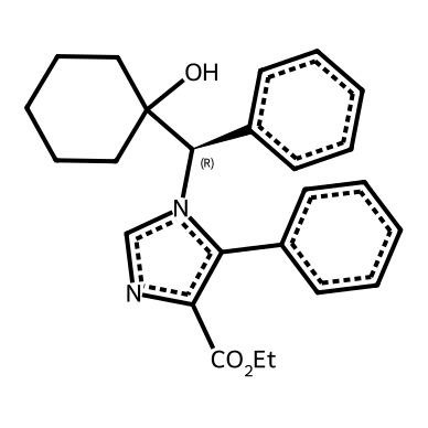 CCOC(=O)c1ncn([C@H](c2ccccc2)C2(O)CCCCC2)c1-c1ccccc1